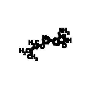 C=C/C(C)=C\C=C(/C)Oc1cncc(-c2ccc3c(=O)[nH]nc(CN)c3c2)c1